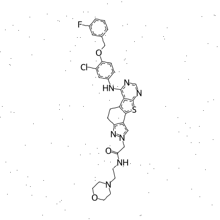 O=C(Cn1cc2c(n1)CCc1c-2sc2ncnc(Nc3ccc(OCc4cccc(F)c4)c(Cl)c3)c12)NCCN1CCOCC1